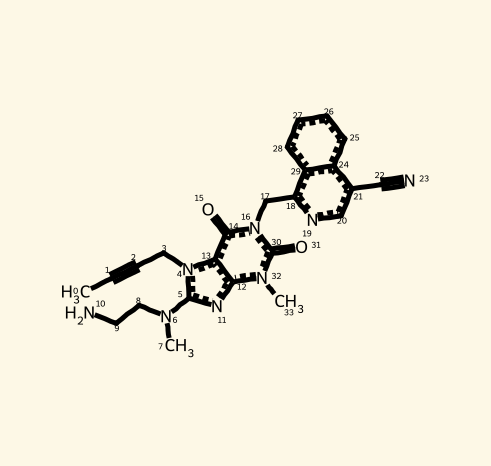 CC#CCn1c(N(C)CCN)nc2c1c(=O)n(Cc1ncc(C#N)c3ccccc13)c(=O)n2C